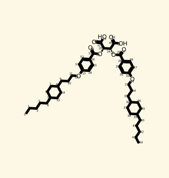 CCCCCC1CCC(CCCOc2ccc(C(=O)O[C@@H](C(=O)O)[C@@H](OC(=O)c3ccc(OCCCC4CCC(CCCCC)CC4)cc3)C(=O)O)cc2)CC1